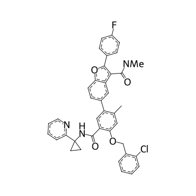 CNC(=O)c1c(-c2ccc(F)cc2)oc2ccc(-c3cc(C(=O)NC4(c5ccccn5)CC4)c(OCc4ccccc4Cl)cc3C)cc12